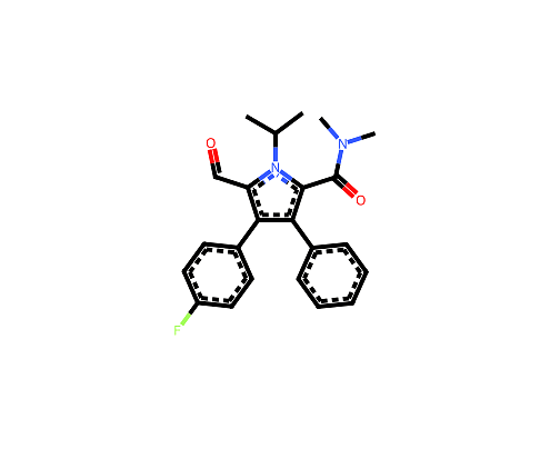 CC(C)n1c(C=O)c(-c2ccc(F)cc2)c(-c2ccccc2)c1C(=O)N(C)C